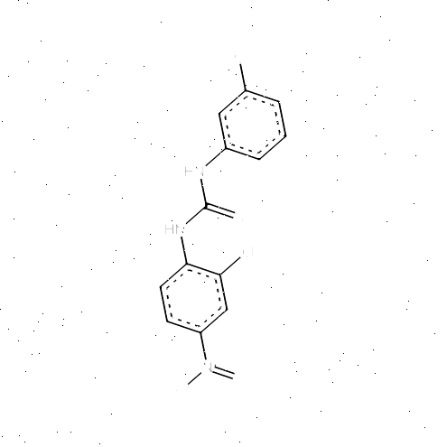 O=[N+]([O-])c1ccc(NC(=S)Nc2cccc(Cl)c2)c(Cl)c1